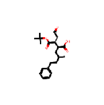 CC(CCc1ccccc1)CC(C(=O)O)[C@H](CC=O)C(=O)OC(C)(C)C